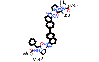 COC[C@H]1C[C@@H](c2nc3ccc4cc(-c5ccc6c(ccc7nc([C@@H]8CC[C@H](C)N8C(=O)[C@@H](NC(=O)OC)C(C)(C)C)[nH]c76)c5)ccc4c3[nH]2)N(C(=O)[C@H](NC(=O)OC)c2ccccc2)C1